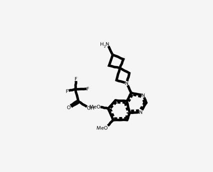 COc1cc2ncnc(N3CC4(CC(N)C4)C3)c2cc1OC.O=C(O)C(F)(F)F